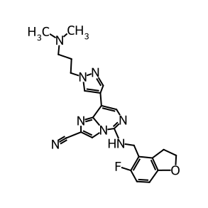 CN(C)CCCn1cc(-c2cnc(NCc3c(F)ccc4c3CCO4)n3cc(C#N)nc23)cn1